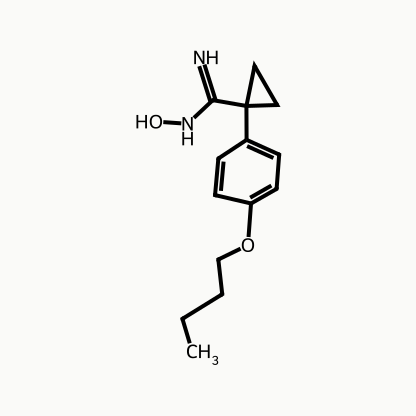 CCCCOc1ccc(C2(C(=N)NO)CC2)cc1